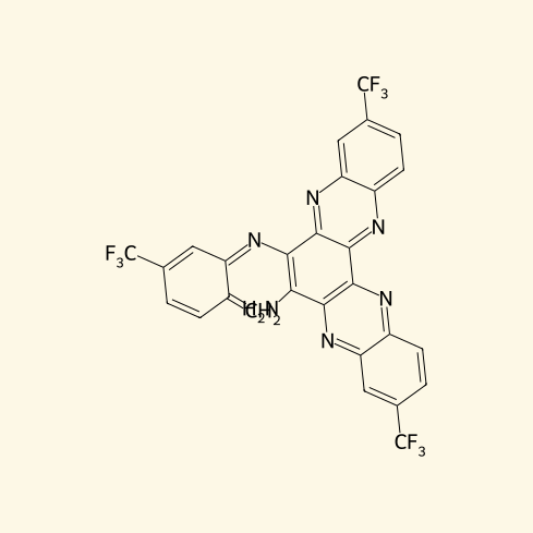 C=C1C=CC(C(F)(F)F)=C/C1=N/c1c(N)c2nc3cc(C(F)(F)F)ccc3nc2c2nc3ccc(C(F)(F)F)cc3nc12